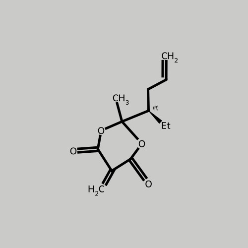 C=CC[C@@H](CC)C1(C)OC(=O)C(=C)C(=O)O1